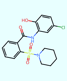 O=C(Nc1cc(Cl)ccc1O)c1ccccc1S(=O)(=O)N1CCCCC1